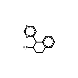 NC1CCc2ccccc2C1c1ccncn1